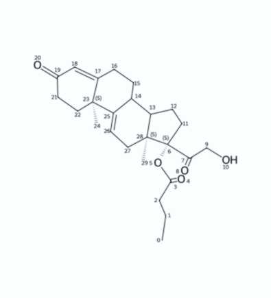 CCCC(=O)O[C@@]1(C(=O)CO)CCC2C3CCC4=CC(=O)CC[C@]4(C)C3=CC[C@@]21C